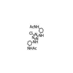 CC(=O)Nc1cccc(Nc2nc(Cl)nc(Nc3cccc(NC(C)=O)c3)n2)c1